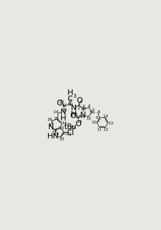 C[C@H](NC(=O)[C@H]1C[C@H](Cc2ccccc2)CN1C(=O)OC(C)(C)C)C(=O)NCc1cnc2[nH]cc(Cl)c2c1